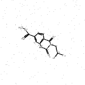 COC(=O)c1ccc2c(=O)n(CC(F)F)c(=O)[nH]c2c1